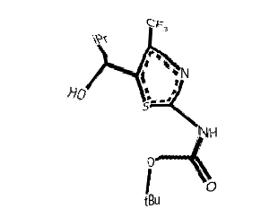 CC(C)C(O)c1sc(NC(=O)OC(C)(C)C)nc1C(F)(F)F